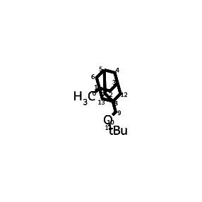 CC12CC3CC(C1)CC(COC(C)(C)C)(C3)C2